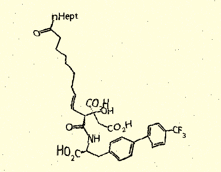 CCCCCCCC(=O)CCCCCC/C=C/[C@H](C(=O)N[C@@H](Cc1ccc(-c2ccc(C(F)(F)F)cc2)cc1)C(=O)O)[C@@](O)(CC(=O)O)C(=O)O